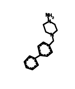 NN1CCN(Cc2ccc(-c3ccccc3)cc2)CC1